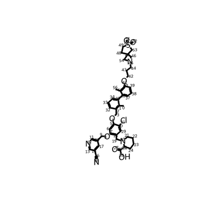 Cc1c(COc2cc(OCc3cncc(C#N)c3)c(CN3CCCC[C@H]3C(=O)O)cc2Cl)cccc1-c1cccc(OCCCN2CC3(CCS(=O)(=O)C3)C2)c1C